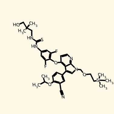 CC(C)Oc1ccc(-c2cn(COCC[Si](C)(C)C)c3nccc(Oc4c(F)cc(NC(=S)NCC(C)(C)CO)cc4F)c23)cc1C#N